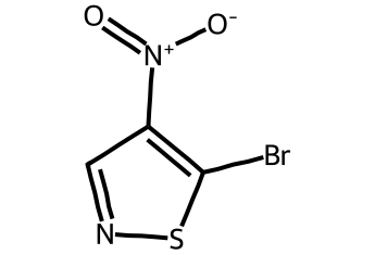 O=[N+]([O-])c1cnsc1Br